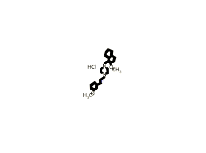 COc1cccc(/C=C/CN2CCN(Cc3c(OC)ccc4ccccc34)CC2)c1.Cl